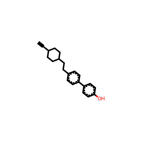 C#CC1CCC(CCc2ccc(-c3ccc(O)cc3)cc2)CC1